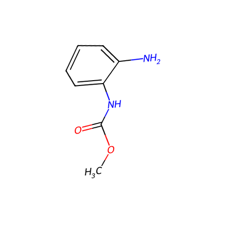 COC(=O)Nc1ccccc1N